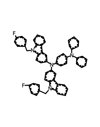 Fc1ccc(Cn2c3ccccc3c3cc(N(c4ccc(N(c5ccccc5)c5ccccc5)cc4)c4ccc5c(c4)c4ccccc4n5Cc4ccc(F)cc4)ccc32)cc1